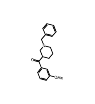 COc1cccc(C(=O)C2CCCN(Cc3ccccc3)C2)c1